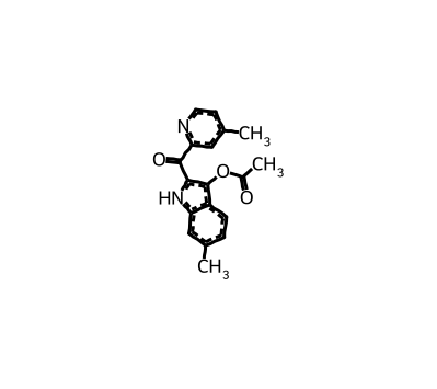 CC(=O)Oc1c(C(=O)c2cc(C)ccn2)[nH]c2cc(C)ccc12